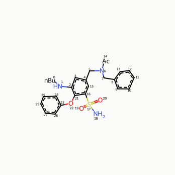 CCCCNc1cc(CN(Cc2ccccc2)C(C)=O)cc(S(N)(=O)=O)c1Oc1ccccc1